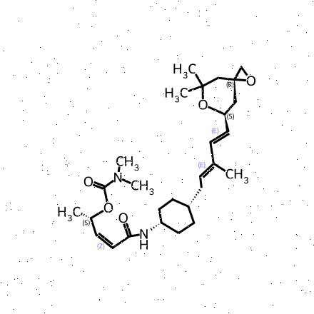 CC(/C=C/[C@@H]1C[C@]2(CO2)CC(C)(C)O1)=C\C[C@H]1CC[C@@H](NC(=O)/C=C\[C@H](C)OC(=O)N(C)C)CC1